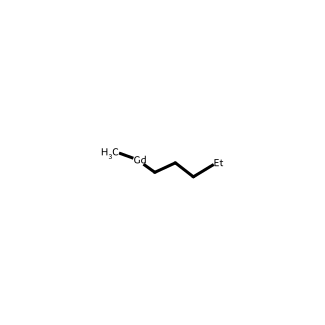 CCCC[CH2][Gd][CH3]